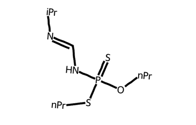 CCCOP(=S)(NC=NC(C)C)SCCC